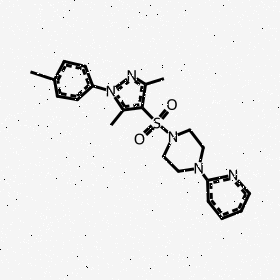 Cc1ccc(-n2nc(C)c(S(=O)(=O)N3CCN(c4ccccn4)CC3)c2C)cc1